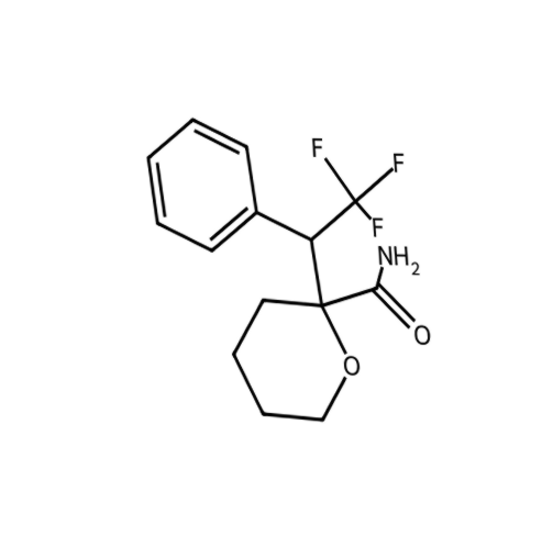 NC(=O)C1(C(c2ccccc2)C(F)(F)F)CCCCO1